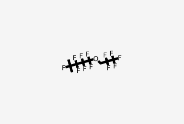 CC(C)(F)C(F)(F)C(F)(F)C(F)(F)OCC(F)(F)C(F)(F)F